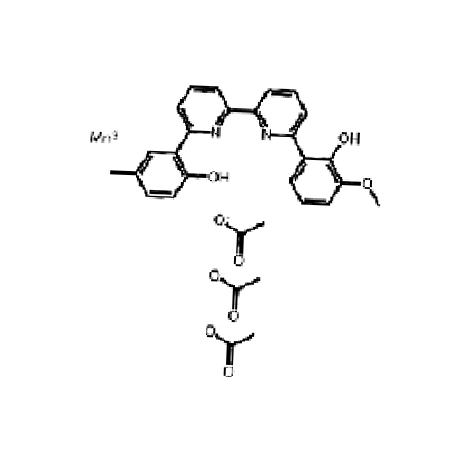 CC(=O)[O-].CC(=O)[O-].CC(=O)[O-].COc1cccc(-c2cccc(-c3cccc(-c4cc(C)ccc4O)n3)n2)c1O.[Mn+3]